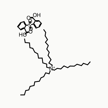 CCCCCCCCCCCC[N+](CCCCCCCCCCCC)(CCCCCCCCCCCC)CCCCCCCCCCCC.O=C(O)c1ccccc1S(=O)(=O)c1ccccc1C(=O)O